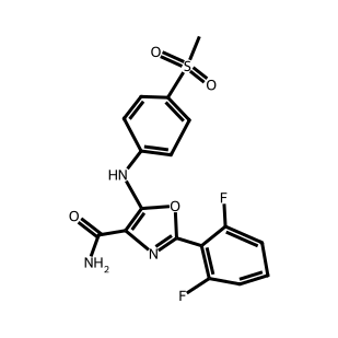 CS(=O)(=O)c1ccc(Nc2oc(-c3c(F)cccc3F)nc2C(N)=O)cc1